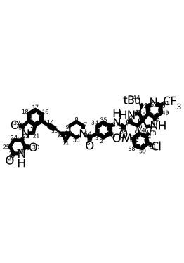 COc1cc(C(=O)N2CCC[C@]3(C[C@H]3C#Cc3cccc4c3CN(C3CCC(=O)NC3=O)C4=O)C2)ccc1NC(=O)[C@@H]1N[C@@H](CC(C)(C)C)[C@@]2(CNc3cc(C(F)(F)F)ncc32)[C@H]1c1cccc(Cl)c1F